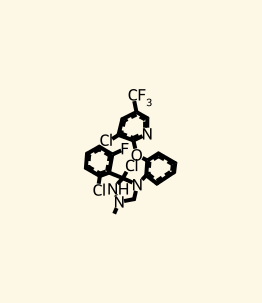 CN1CN(c2ccccc2Oc2ncc(C(F)(F)F)cc2Cl)C(Cl)(c2c(F)cccc2Cl)N1